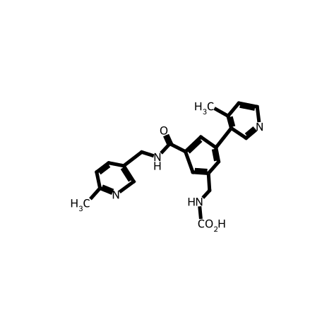 Cc1ccc(CNC(=O)c2cc(CNC(=O)O)cc(-c3cnccc3C)c2)cn1